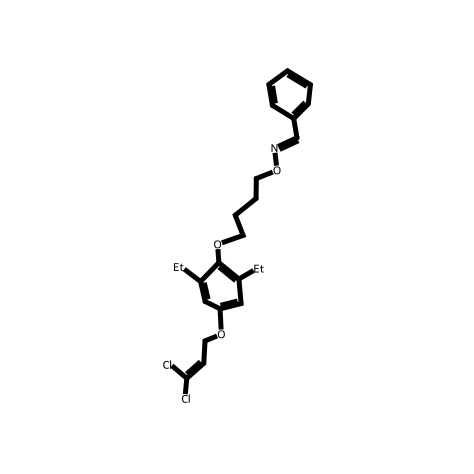 CCc1cc(OCC=C(Cl)Cl)cc(CC)c1OCCCCON=Cc1ccccc1